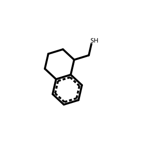 SCC1CCCc2ccccc21